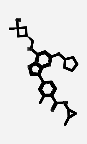 Cc1cc(-c2cnn3c(NC[C@H]4C[C@@](C)(O)C4)cc(OC4CCCC4)nc23)ccc1C(=O)NC1CC1C